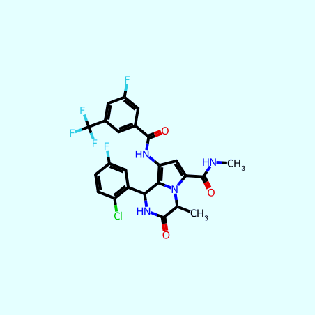 CNC(=O)c1cc(NC(=O)c2cc(F)cc(C(F)(F)F)c2)c2n1C(C)C(=O)NC2c1cc(F)ccc1Cl